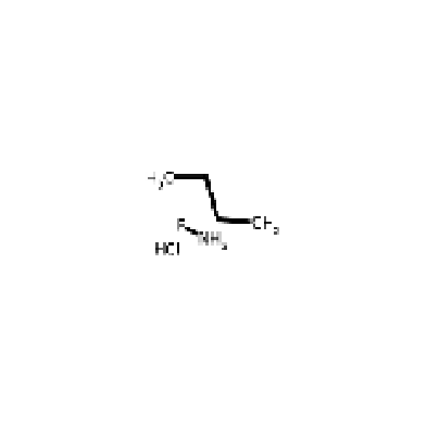 CCCC.Cl.NF